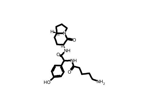 NCCCCC(=O)NC(C(=O)N[C@@H]1CC[C@@H]2CCCN2C1=O)c1ccc(O)cc1